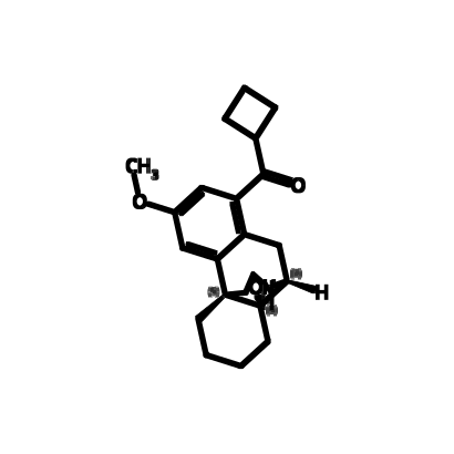 COc1cc(C(=O)C2CCC2)c2c(c1)[C@@]13CCCC[C@@]1(O)[C@@H](C2)NCC3